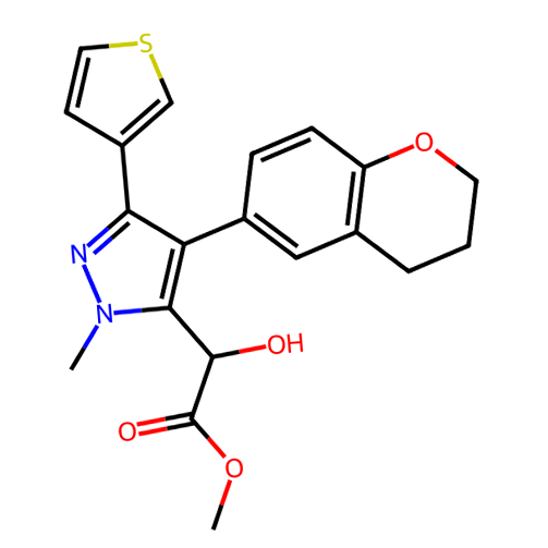 COC(=O)C(O)c1c(-c2ccc3c(c2)CCCO3)c(-c2ccsc2)nn1C